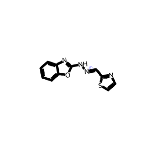 C(=N\Nc1nc2ccccc2o1)/c1nccs1